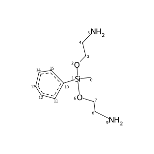 C[Si](OCCN)(OCCN)c1ccccc1